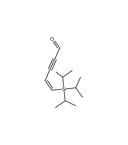 CC(C)[Si](/C=C\C#CC=O)(C(C)C)C(C)C